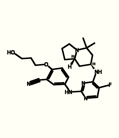 CC1(C)C[C@H](Nc2nc(Nc3ccc(OCCCO)c(C#N)c3)ncc2F)C[C@@H]2CCCN21